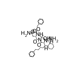 CC(C)(C)N(C(=O)[C@@H]1C(CCCCc2ccccc2)[C@@H]2CCCC[C@@H]2C(N)N1O)C(=O)[C@@H](CC(N)=O)NC(=O)OCc1ccccc1